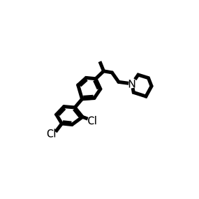 CC(CCN1CCCCC1)c1ccc(-c2ccc(Cl)cc2Cl)cc1